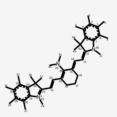 Cc1c(C)c(C)c2c(c1C)N(C)/C(=C/C=C1\CCCC(/C=C/C3=[N+](C)c4c(C)c(C)c(C)c(C)c4C3(C)C)=C1N(C)C)C2(C)C